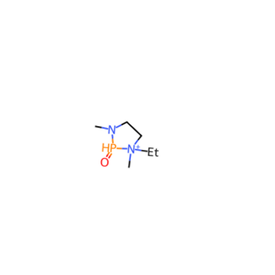 CC[N+]1(C)CCN(C)[PH]1=O